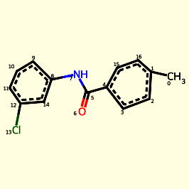 Cc1ccc(C(=O)Nc2cccc(Cl)c2)cc1